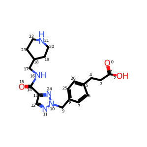 O=C(O)CCc1ccc(Cn2ncc(C(=O)NCC3CCNCC3)n2)cc1